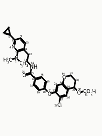 CN(C)c1nc(C2CC2)ccc1CCNC(=O)c1ccc(Oc2cc3c(cc2Cl)C(OC(=O)O)CCO3)cc1